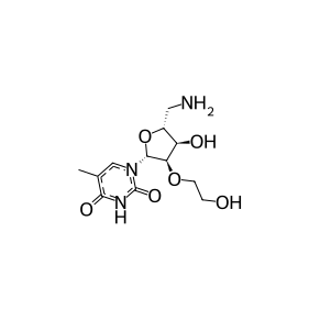 Cc1cn([C@@H]2O[C@H](CN)[C@@H](O)[C@H]2OCCO)c(=O)[nH]c1=O